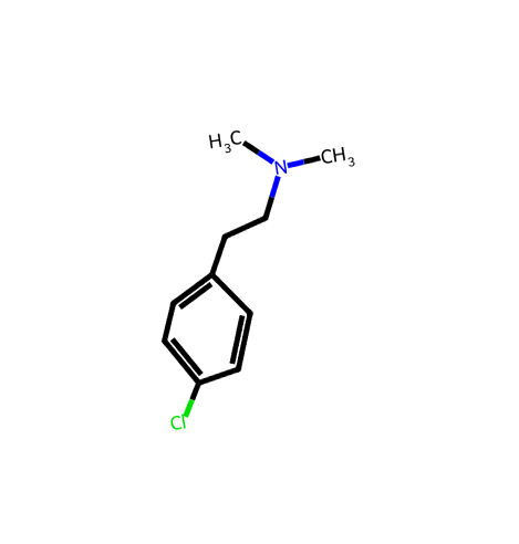 CN(C)CCc1ccc(Cl)cc1